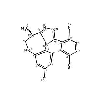 C[C@@H]1CNc2cc(Cl)ccc2-n2c(-c3cc(Cl)ccc3F)nnc21